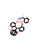 C[C@@H](NP1OCc2cccc3c2[C@]2(c4ccccc4O3)c3ccccc3Oc3cccc(c32)O1)c1ccccc1